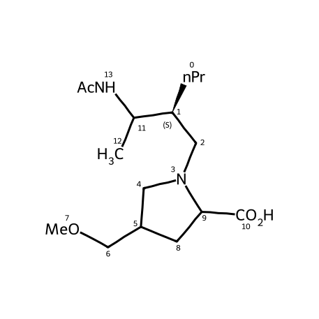 CCC[C@@H](CN1CC(COC)CC1C(=O)O)C(C)NC(C)=O